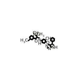 CCc1ccc2c(c1)c(=O)c(CNc1ccc(Oc3ncnc4c3C(c3ccccc3)CN4)c(C)c1)c(C)n2C